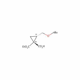 CCCCOC[C@H]1C[C@@]1(C(=O)O)C(=O)OCC